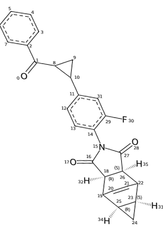 O=C(c1ccccc1)C1CC1c1ccc(N2C(=O)[C@@H]3C4C=CC([C@H]5C[C@@H]45)[C@@H]3C2=O)c(F)c1